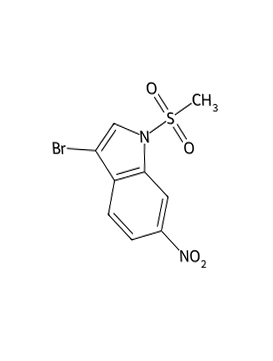 CS(=O)(=O)n1cc(Br)c2ccc([N+](=O)[O-])cc21